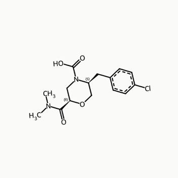 CN(C)C(=O)[C@H]1CN(C(=O)O)[C@@H](Cc2ccc(Cl)cc2)CO1